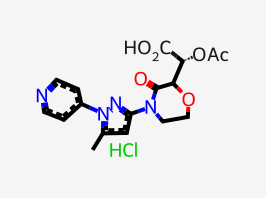 CC(=O)O[C@@H](C(=O)O)C1OCCN(c2cc(C)n(-c3ccncc3)n2)C1=O.Cl